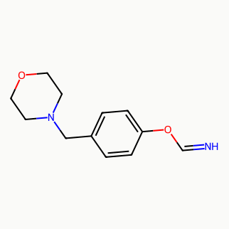 N=COc1ccc(CN2CCOCC2)cc1